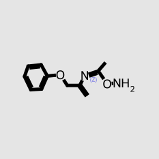 C=C(COc1ccccc1)/N=C(/C)ON